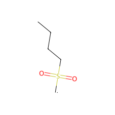 [CH2]S(=O)(=O)CCCC